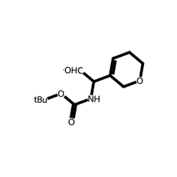 CC(C)(C)OC(=O)NC([C]=O)C1=CCCOC1